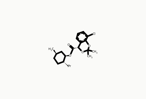 CC(C)[C@@H]1CC[C@@H](C)C[C@H]1OC(=O)[C@H]1OC(C)(C)Oc2c(Cl)cccc21